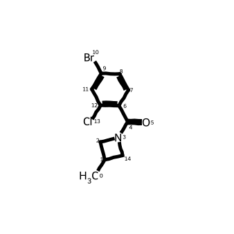 CC1CN(C(=O)c2ccc(Br)cc2Cl)C1